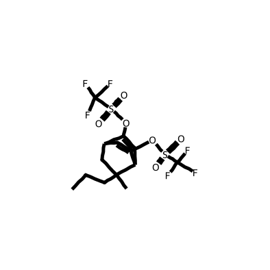 CCCC1(C)CC2C=C(OS(=O)(=O)C(F)(F)F)C1C=C2OS(=O)(=O)C(F)(F)F